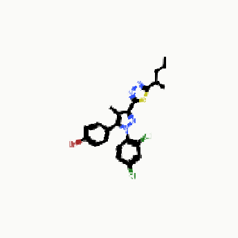 CCCC(C)c1nnc(-c2nn(-c3ccc(Cl)cc3Cl)c(-c3ccc(Br)cc3)c2C)s1